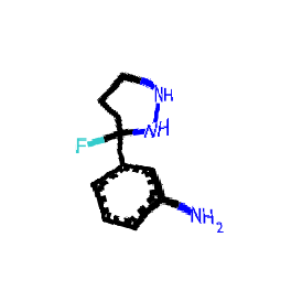 Nc1cccc(C2(F)CCNN2)c1